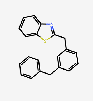 c1ccc(Cc2cccc(Cc3nc4ccccc4s3)c2)cc1